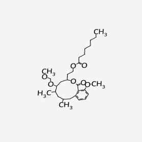 CCCCCCCC(=O)OCCC1CC(OCOC)C(C)CC(C)Cc2cccc(OC)c2C(=O)O1